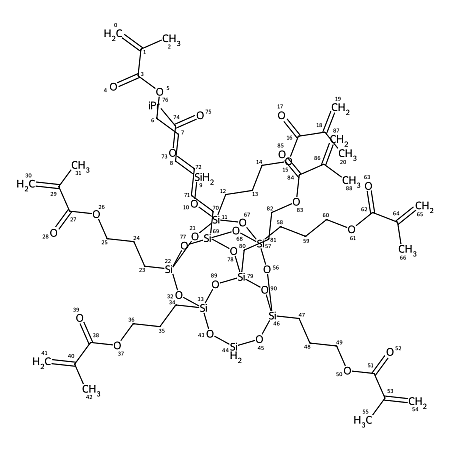 C=C(C)C(=O)OCCC[SiH2]O[Si]1(CCCOC(=O)C(=C)C)O[Si]2(CCCOC(=O)C(=C)C)O[Si]3(CCCOC(=O)C(=C)C)O[SiH2]O[Si]4(CCCOC(=O)C(=C)C)O[Si](CCCOC(=O)C(=C)C)(O1)O[Si](CCCOC(=O)C(C)C)(O2)O[Si](CCCOC(=O)C(=C)C)(O3)O4